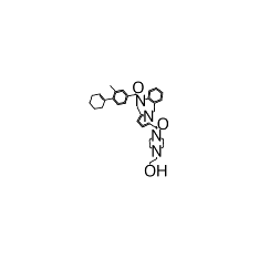 Cc1cc(C(=O)N2Cc3ccc(C(=O)N4CCN(CCO)CC4)n3Cc3ccccc32)ccc1C1=CCCCC1